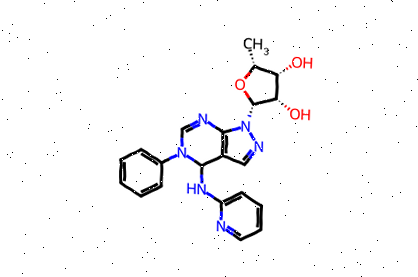 C[C@H]1O[C@@H](n2ncc3c2N=CN(c2ccccc2)C3Nc2ccccn2)[C@@H](O)[C@H]1O